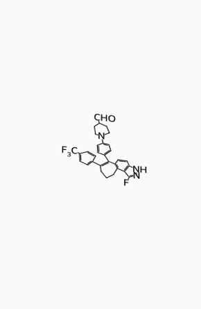 O=CC1CCN(c2ccc(C3=C(c4ccc(C(F)(F)F)cc4)CCCc4c3ccc3[nH]nc(F)c43)cc2)CC1